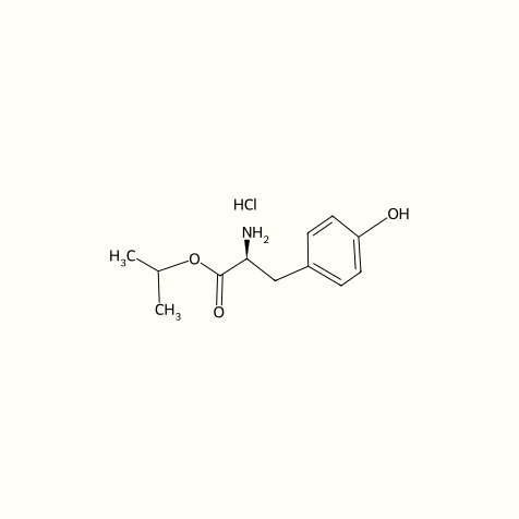 CC(C)OC(=O)[C@@H](N)Cc1ccc(O)cc1.Cl